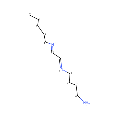 CCCCC/N=C/C=N/CCCCN